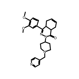 COc1ccc(C2=NN(C3CCN(Cc4ccncc4)CC3)C(=O)C3CC=CCC23)cc1OC